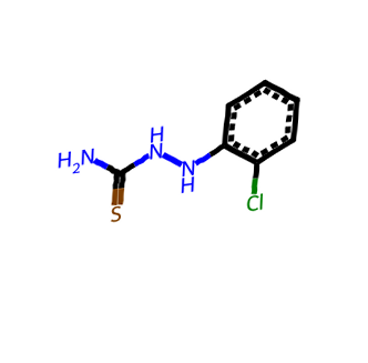 NC(=S)NNc1ccccc1Cl